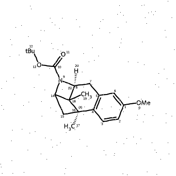 COc1ccc2c(c1)C[C@@H]1N(C(=O)OC(C)(C)C)C3C[C@@]2(C)C31C